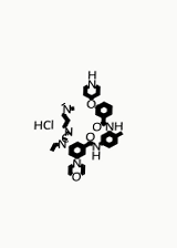 CCN=C=NCCCN(C)C.Cc1ccc(NC(=O)c2cccc(N3CCOCC3)c2)cc1NC(=O)c1cccc(OC2CCNCC2)c1.Cl